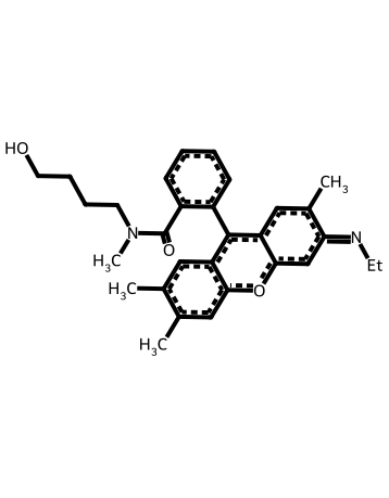 CC/N=c1\cc2oc3cc(C)c(C)cc3c(-c3ccccc3C(=O)N(C)CCCCO)c-2cc1C